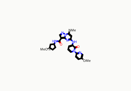 CNc1cc(Nc2cccn(-c3ccc(OC)cn3)c2=O)nc2c(C(=O)NC3CC[C@@H](OC)C3)cnn12